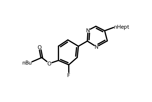 CCCCCCCc1cnc(-c2ccc(OC(=O)CCCC)c(F)c2)nc1